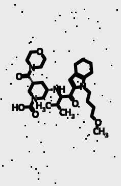 COCCCCn1c(C(=O)C(N[C@H]2C[C@@H](C(=O)N3CCOCC3)CN(C(=O)O)C2)C(C)C)cc2c1CCCC2